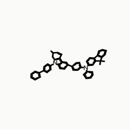 CC1C=Cc2c(n(-c3ccc(-c4ccccc4)cc3)c3ccc(-c4ccc(N(c5ccccc5)c5ccc6c(c5)C(C)(C)c5ccccc5-6)cc4)cc23)C1